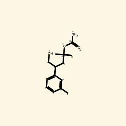 Cc1cccc(C(CO)CC(C)(C)OC(N)=O)c1